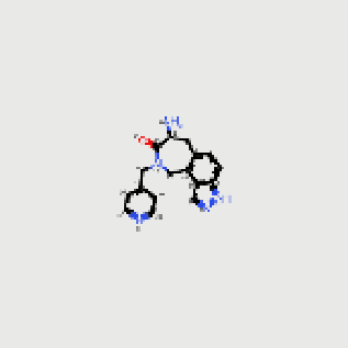 NC1Cc2ccc3[nH]ncc3c2CN(Cc2ccncc2)C1=O